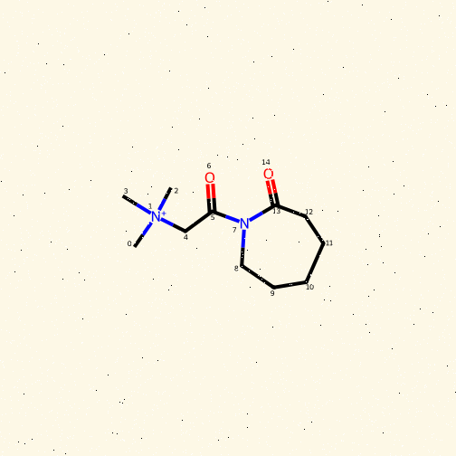 C[N+](C)(C)CC(=O)N1CCCCCC1=O